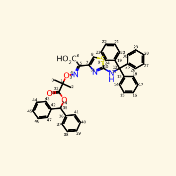 CC(C)(O/N=C(\C(=O)O)c1csc(NC(c2ccccc2)(c2ccccc2)c2ccccc2)n1)C(=O)OC(c1ccccc1)c1ccccc1